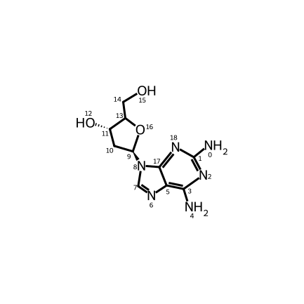 Nc1nc(N)c2ncn([C@H]3C[C@H](O)C(CO)O3)c2n1